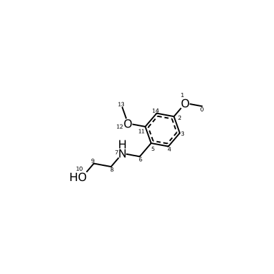 COc1ccc(CNCCO)c(OC)c1